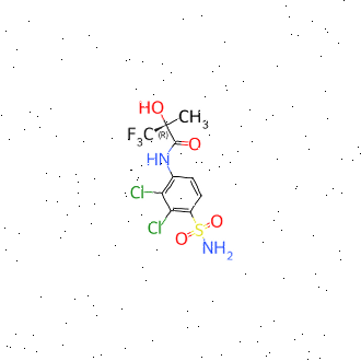 C[C@@](O)(C(=O)Nc1ccc(S(N)(=O)=O)c(Cl)c1Cl)C(F)(F)F